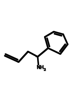 C=CC[C](N)c1ccccc1